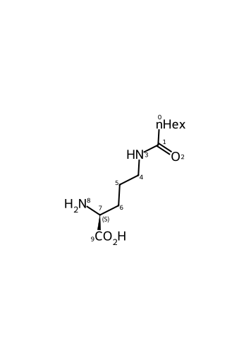 CCCCCCC(=O)NCCC[C@H](N)C(=O)O